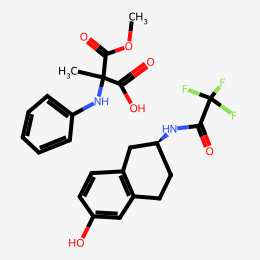 COC(=O)C(C)(Nc1ccccc1)C(=O)O.O=C(N[C@H]1CCc2cc(O)ccc2C1)C(F)(F)F